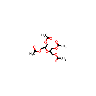 CC(=O)OCC(COC(C)=O)OC(COC(C)=O)COC(C)=O